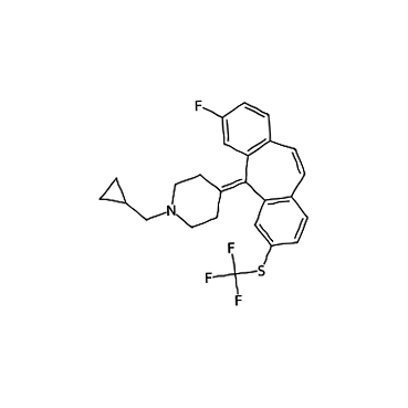 Fc1ccc2c(c1)C(=C1CCN(CC3CC3)CC1)c1cc(SC(F)(F)F)ccc1C=C2